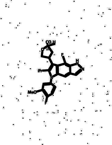 COc1cc(-n2c(C(C)C)c(C3CO[C@@](C)(C(=O)O)C3)c3c(F)c4[nH]ncc4cc32)ccc1F